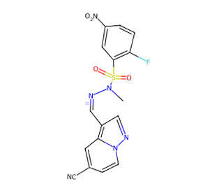 CN(/N=C\c1cnn2ccc(C#N)cc12)S(=O)(=O)c1cc([N+](=O)[O-])ccc1F